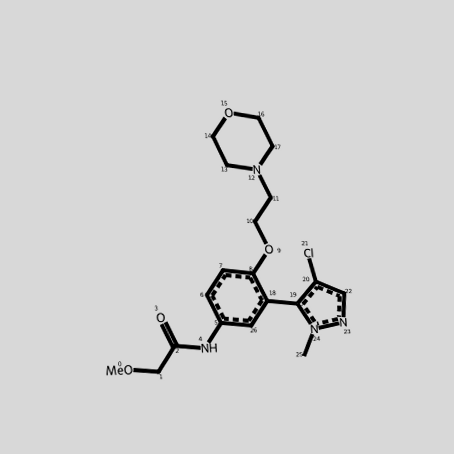 COCC(=O)Nc1ccc(OCCN2CCOCC2)c(-c2c(Cl)cnn2C)c1